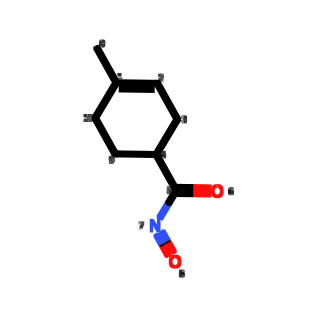 CC1=CCC(C(=O)N=O)CC1